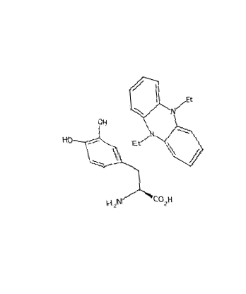 CCN1c2ccccc2N(CC)c2ccccc21.N[C@@H](Cc1ccc(O)c(O)c1)C(=O)O